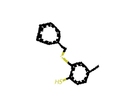 Cc1ccc(S)c(SCc2ccccc2)c1